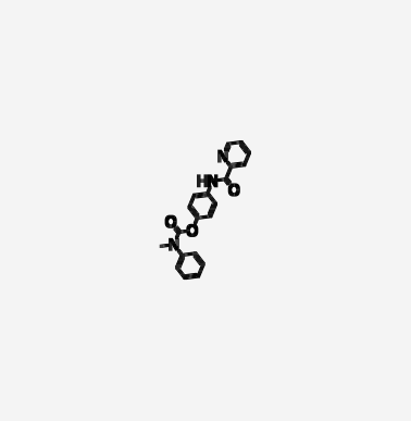 CN(C(=O)Oc1ccc(NC(=O)c2ccccn2)cc1)c1ccccc1